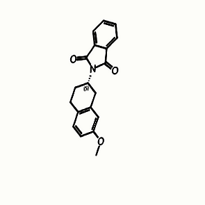 COc1ccc2c(c1)C[C@@H](N1C(=O)c3ccccc3C1=O)CC2